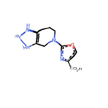 O=C(O)c1coc(N2CCC3=C(C2)NNN3)n1